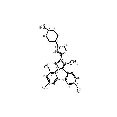 Cc1c(C2=NN(C3CCC(C(C)(C)C)CC3)CO2)nn(-c2ccc(Cl)cc2Cl)c1-c1ccc(Cl)cc1